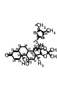 Cc1nc(SCC(=O)[C@@]23OC(C)(C)O[C@@H]2CC2C4CCC5=CC(=O)C=CC5(C)C4[C@@H](O)CC23C)sc1C